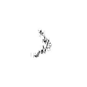 COc1nc(-c2cccc(-c3cccc(-c4cnc5c(CNC[C@@H]6CCC(=O)N6)cn(C)c5n4)c3Cl)c2Cl)cnc1CNC[C@H]1CCC(=O)N1